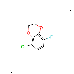 Fc1ccc(Cl)c2c1OCCO2